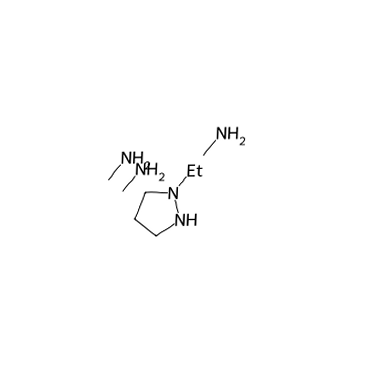 CCN1CCCN1.CN.CN.CN